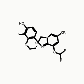 Oc1ccc2c(c1F)OCC[C@@]21CN2C=C(C(F)(F)F)C=C(OC(F)F)C2=N1